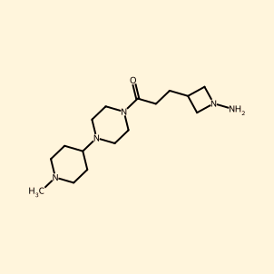 CN1CCC(N2CCN(C(=O)CCC3CN(N)C3)CC2)CC1